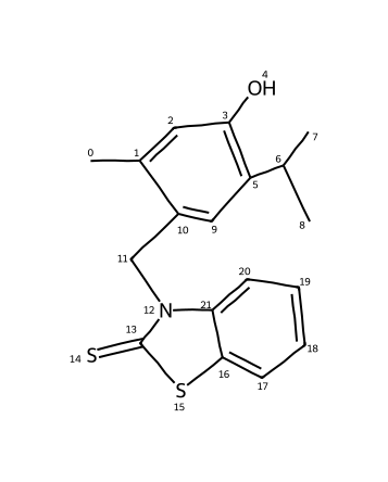 Cc1cc(O)c(C(C)C)cc1Cn1c(=S)sc2ccccc21